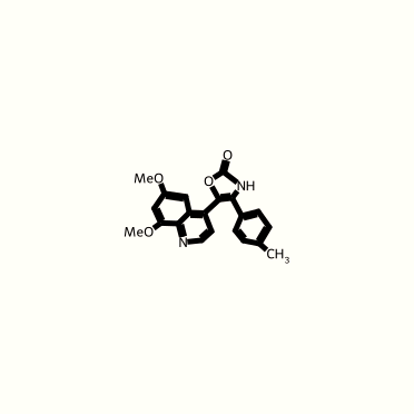 COc1cc(OC)c2nccc(-c3oc(=O)[nH]c3-c3ccc(C)cc3)c2c1